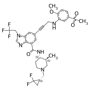 COc1ccc(S(C)(=O)=O)cc1NCC#Cc1cc(C(=O)N[C@H]2CCN(C[C@@H]3CC3(F)F)C[C@@H]2C)c2ncn(CC(F)(F)F)c2c1